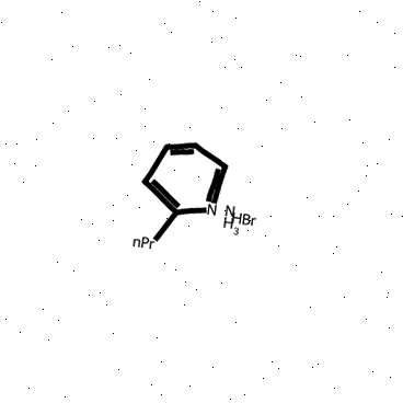 Br.CCCc1ccccn1.N